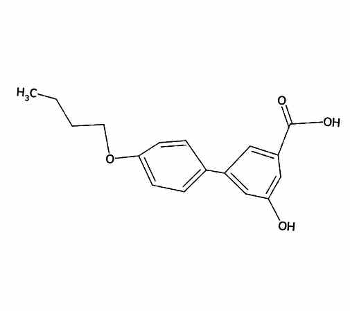 CCCCOc1ccc(-c2cc(O)cc(C(=O)O)c2)cc1